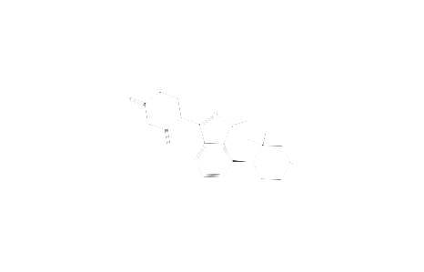 Cn1nc(C2CCC(=O)NC2=O)c2cccc([C@@H]3CCNCC3(F)F)c21